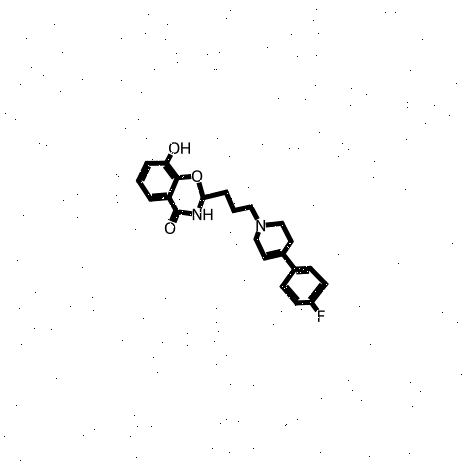 O=C1NC(CCCN2CC=C(c3ccc(F)cc3)CC2)Oc2c(O)cccc21